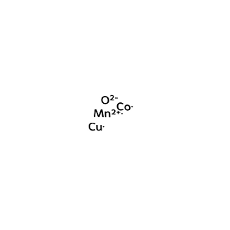 [Co].[Cu].[Mn+2].[O-2]